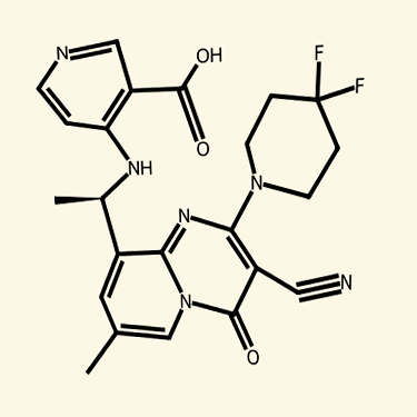 Cc1cc([C@@H](C)Nc2ccncc2C(=O)O)c2nc(N3CCC(F)(F)CC3)c(C#N)c(=O)n2c1